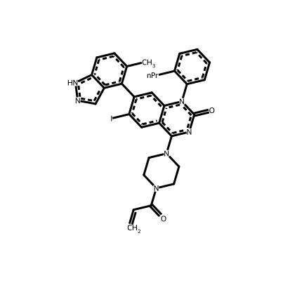 C=CC(=O)N1CCN(c2nc(=O)n(-c3ccccc3CCC)c3cc(-c4c(C)ccc5[nH]ncc45)c(I)cc23)CC1